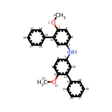 COc1ccc(Nc2ccc(OC)c(-c3ccccc3)c2)cc1-c1ccccc1